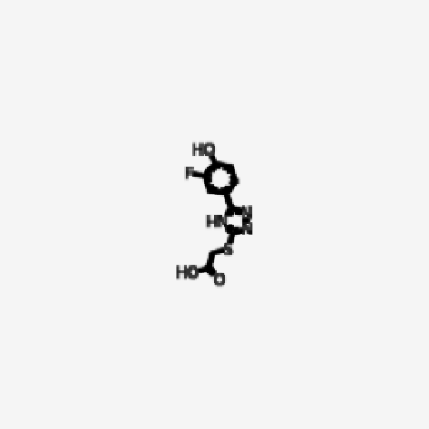 O=C(O)CSc1nnc(-c2ccc(O)c(F)c2)[nH]1